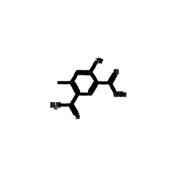 COC(=O)c1cc(C(N)=S)c(C)cc1C(C)C